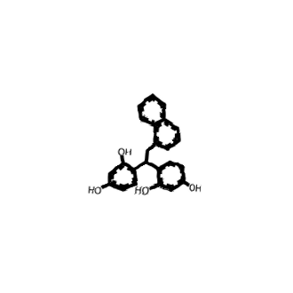 Oc1ccc(C(Cc2cccc3ccccc23)c2ccc(O)cc2O)c(O)c1